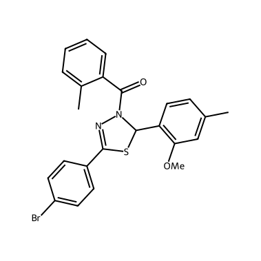 COc1cc(C)ccc1C1SC(c2ccc(Br)cc2)=NN1C(=O)c1ccccc1C